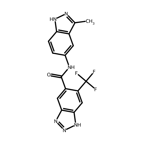 Cc1n[nH]c2ccc(NC(=O)c3cc4nn[nH]c4cc3C(F)(F)F)cc12